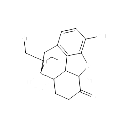 CCN1CC[C@]23c4c5ccc(O)c4O[C@H]2C(=O)CC[C@@]3(C)[C@H]1C5